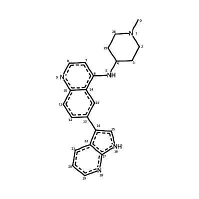 CN1CCC(Nc2ccnc3ccc(-c4c[nH]c5ncccc45)cc23)CC1